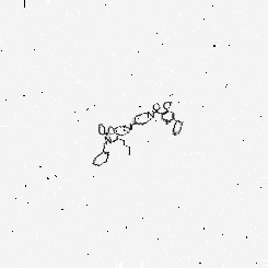 CCCCC1CN(CC2CCCCC2)C(=O)OC12CCN(C1CCN(C(=O)c3ccc(Cl)cc3OC)CC1)CC2